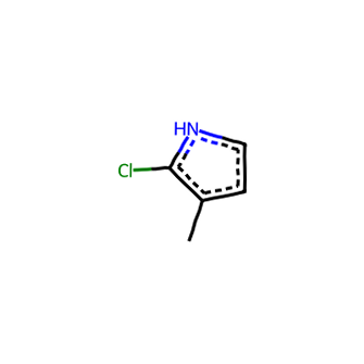 Cc1cc[nH]c1Cl